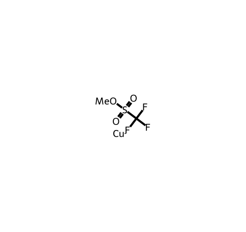 COS(=O)(=O)C(F)(F)F.[Cu]